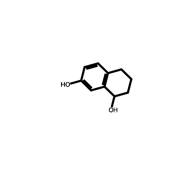 Oc1ccc2c(c1)C(O)CCC2